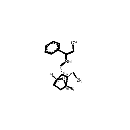 OCC(NC[C@@H]1[C@H](CO)[C@@H]2CC[C@H]1O2)c1ccccc1